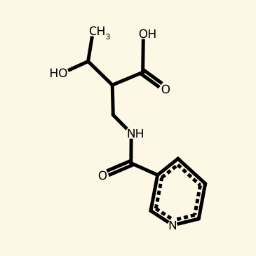 CC(O)C(CNC(=O)c1cccnc1)C(=O)O